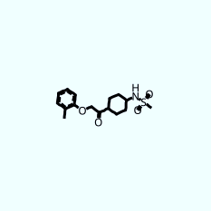 Cc1ccccc1OCC(=O)C1CCC(NS(C)(=O)=O)CC1